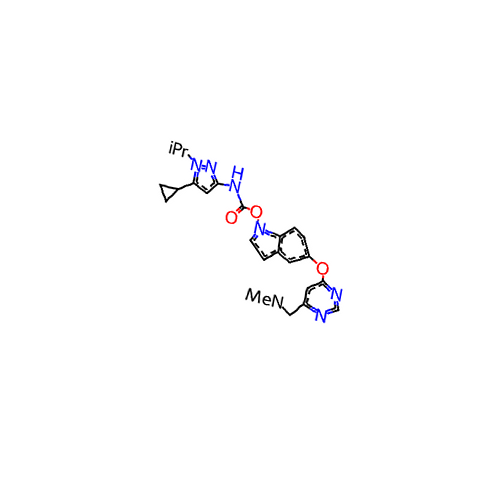 CNCc1cc(Oc2ccc3c(ccn3OC(=O)Nc3cc(C4CC4)n(C(C)C)n3)c2)ncn1